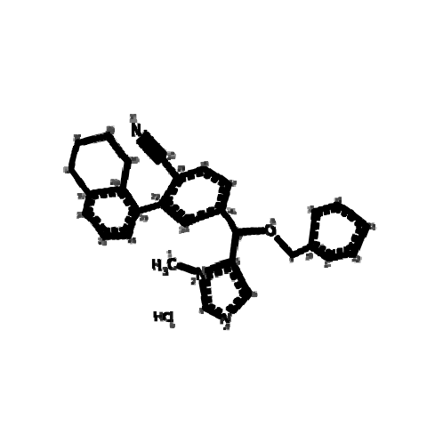 Cl.Cn1cncc1C(OCc1ccccc1)c1ccc(C#N)c(-c2cccc3c2CCCC3)c1